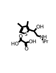 Cc1csc(C(O)CNC(C)C)c1C.O=C(O)C(=O)O